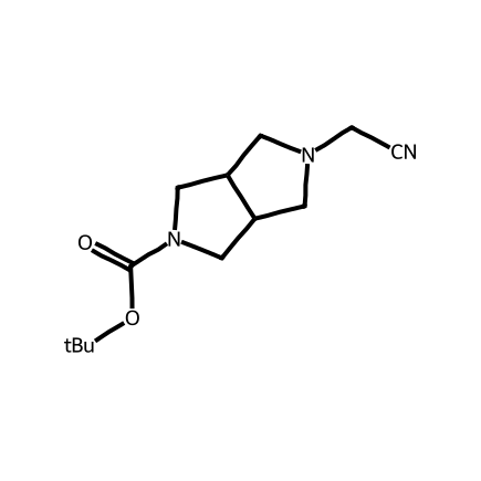 CC(C)(C)OC(=O)N1CC2CN(CC#N)CC2C1